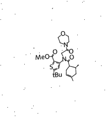 COC(=O)c1sc(C(C)(C)C)cc1N(CC(=O)N1CCOCC1)C(=O)C1CC=C(C)C[C@@H]1C